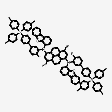 Cc1ccc([Si](c2ccc(C)cc2)(c2ccc(C)cc2)c2ccc(-c3ccc(F)c(N(c4cc(C(C)C)c5ccc6c(N(c7cc(-c8ccc([Si](c9ccc(C)cc9)(c9ccc(C)cc9)c9ccc(C)cc9)cc8)ccc7F)c7cccc8c7oc7ccccc78)cc(C(C)C)c7ccc4c5c76)c4cccc5c4oc4ccccc45)c3)cc2)cc1